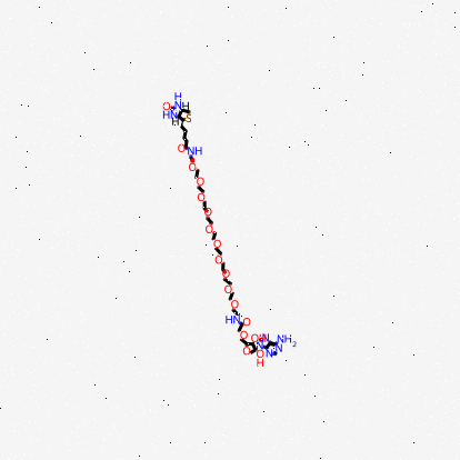 Nc1ncnc2c1ncn2[C@]1(O)COC(COCC(=O)NCCOCCOCCOCCOCCOCCOCCOCCOCCOCCOCCNC(=O)CCCC[C@@H]2SC[C@@H]3NC(=O)N[C@@H]32)[C@H]1O